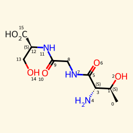 C[C@H](O)[C@H](N)C(=O)NCC(=O)N[C@@H](CO)C(=O)O